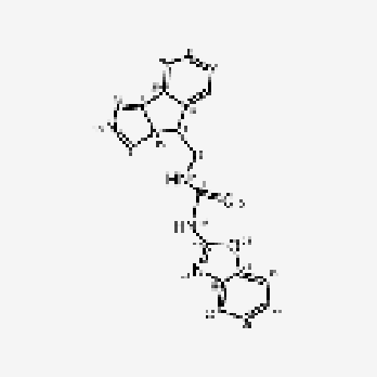 O=C(NCC1c2ccccc2-c2cncn21)Nc1nc2ccccc2o1